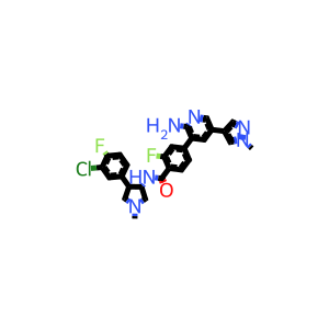 CN1CC(NC(=O)c2ccc(-c3cc(-c4cnn(C)c4)cnc3N)cc2F)C(c2ccc(F)c(Cl)c2)C1